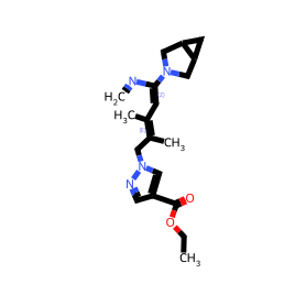 C=N/C(=C\C(C)=C(/C)Cn1cc(C(=O)OCC)cn1)N1CC2CC2C1